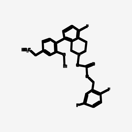 CCOc1cc(CC(=O)O)ccc1-c1ccc(F)c2c1CN(OC(=O)OCc1cc(F)ccc1F)CC2